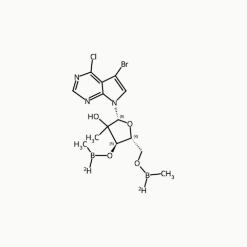 [2H]B(C)OC[C@H]1O[C@@H](n2cc(Br)c3c(Cl)ncnc32)C(C)(O)[C@@H]1OB([2H])C